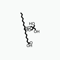 CCCCCCCCCCCCCCCC(=O)O.OCC(CO)(CO)CO